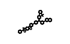 CC1(C)c2ccccc2-c2ccc(N(c3ccc(-c4ccc5c(c4)oc4cc6oc(-c7ccccc7)nc6cc45)cc3)c3cccc(-c4ccc5ccccc5c4)c3)cc21